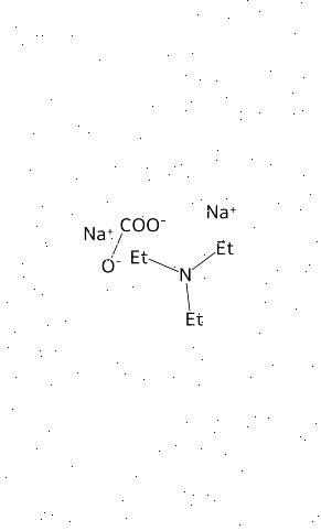 CCN(CC)CC.O=C([O-])[O-].[Na+].[Na+]